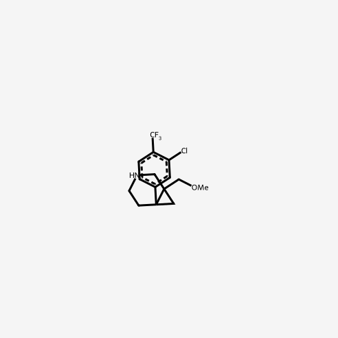 COCC12CNCCC1(c1ccc(C(F)(F)F)c(Cl)c1)C2